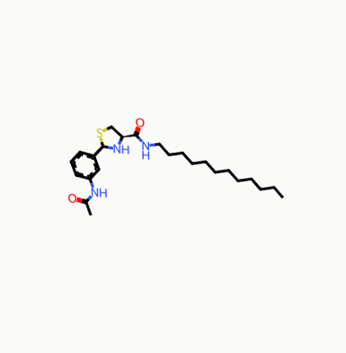 CCCCCCCCCCCCNC(=O)[C@@H]1CSC(c2cccc(NC(C)=O)c2)N1